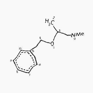 CNC(C)OCc1ccccc1